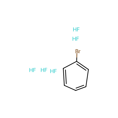 Brc1ccccc1.F.F.F.F.F